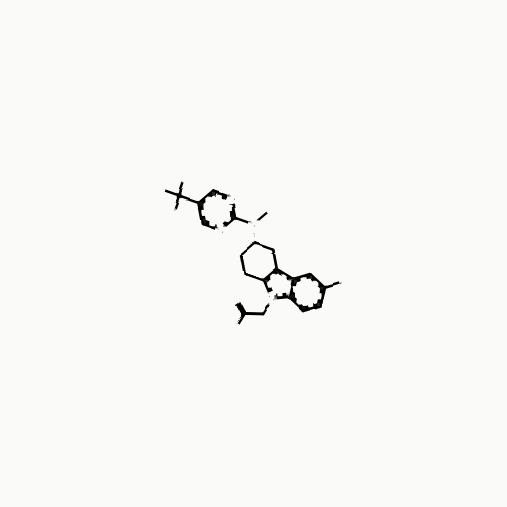 CN(c1ncc(C(F)(F)F)cn1)[C@H]1CCc2c(c3cc(F)ccc3n2CC(=O)O)C1